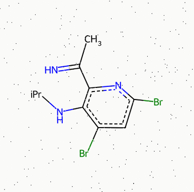 CC(=N)c1nc(Br)cc(Br)c1NC(C)C